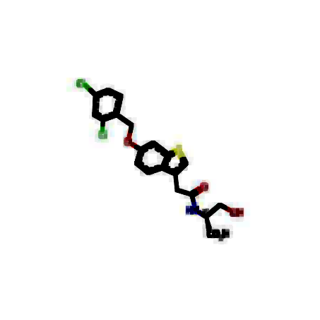 O=C(Cc1csc2cc(OCc3ccc(Cl)cc3Cl)ccc12)N[C@@H](CO)C(=O)O